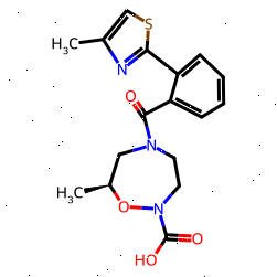 Cc1csc(-c2ccccc2C(=O)N2CCN(C(=O)O)O[C@@H](C)C2)n1